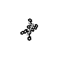 c1ccc(-c2cc(-c3ccc(-c4ccc5ccccc5c4-c4nc(-c5ccccc5)nc(-c5ccccc5)n4)cc3)nc(-c3ccc4ccccc4c3)n2)cc1